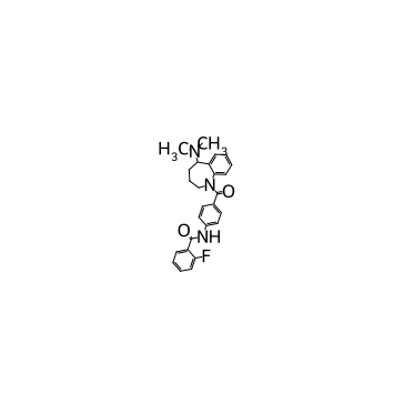 CN(C)C1CCCN(C(=O)c2ccc(NC(=O)c3ccccc3F)cc2)c2ccccc21